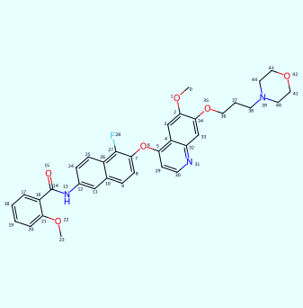 COc1cc2c(Oc3ccc4cc(NC(=O)c5ccccc5OC)ccc4c3F)ccnc2cc1OCCCN1CCOCC1